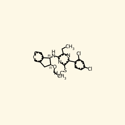 CCO[C@H]1Cc2ccccc2[C@H]1Nc1nc(SC)c(-c2ccc(Cl)cc2Cl)nc1CC